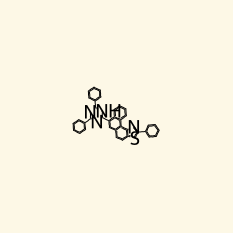 c1ccc(C2=NC(c3cc4ccc5sc(-c6ccccc6)nc5c4c4ccccc34)NC(c3ccccc3)=N2)cc1